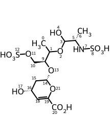 CC(OC(O)[C@H](C)NS(=O)(=O)O)[C@H](COS(=O)(=O)O)O[C@H]1C[C@@H](O)C=C(C(=O)O)O1